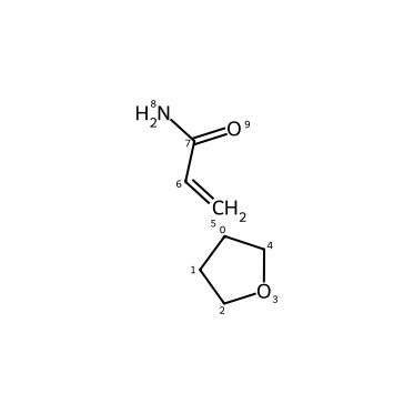 C1CCOC1.C=CC(N)=O